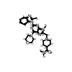 Cc1nc2ccccc2n1-c1nc(N2CCOCC2)c2nc(CN3CCC(C(=O)N(C)C)CC3)n(C)c2n1